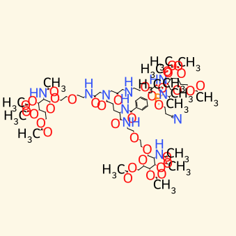 CC(=O)NC1C(OCCOCCNC(=O)CN(CC(=O)CNCCOCCOC2(NC(C)=O)COC(COC(C)=O)C(OC(C)=O)C2OC(C)=O)C(=O)CCC(NC(=O)c2ccc(OP(OCCC#N)N(C(C)C)C(C)C)cc2)C(=O)NCCOCCOC2OC(COC(C)=O)C(OC(C)=O)C(OC(C)=O)C2NC(C)=O)OC(COC(C)=O)C(OC(C)=O)C1OC(C)=O